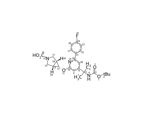 CC(C)(C)OC(=O)NC(C)(C)c1cc(O[C@@H]2[C@@H]3CN(C(=O)O)C[C@@H]32)nc(-c2ccc(F)cc2)c1